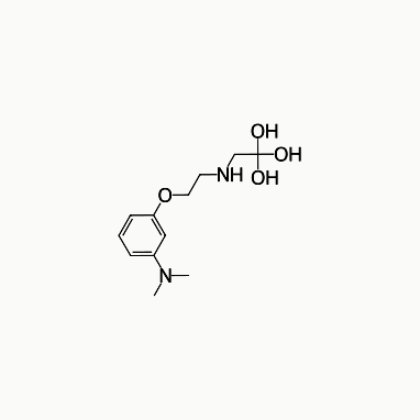 CN(C)c1cccc(OCCNCC(O)(O)O)c1